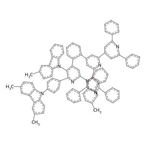 Cc1ccc2c(c1)c1cc(C)ccc1n2-c1ccc(-c2nc(-n3c4ccccc4c4cc(C)ccc43)cc(-c3ccccc3-c3cc(-c4cc(-c5ccccc5)nc(-c5ccccc5)c4)nc(-c4cc(-c5ccccc5)nc(-c5ccccc5)c4)c3)c2-n2c3ccccc3c3cc(C)ccc32)cc1